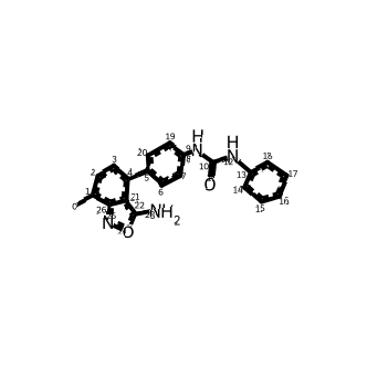 Cc1ccc(-c2ccc(NC(=O)Nc3ccccc3)cc2)c2c(N)onc12